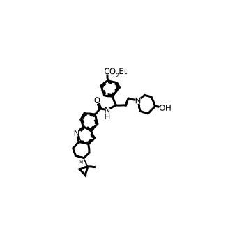 CCOC(=O)c1ccc(C(CCN2CCC(O)CC2)NC(=O)c2ccc3nc4c(cc3c2)C[C@@H](C2(C)CC2)CC4)cc1